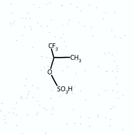 CC(OS(=O)(=O)O)C(F)(F)F